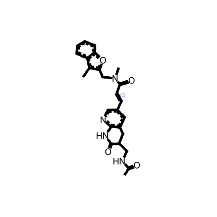 CC(=O)NCC1Cc2cc(/C=C/C(=O)N(C)Cc3oc4ccccc4c3C)cnc2NC1=O